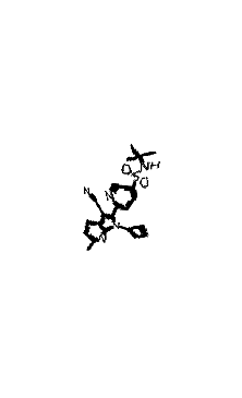 Cc1ccc2c(C#N)c(-c3ccc(S(=O)(=O)NC(C)(C)C)cn3)n(C3=CC=C3)c2n1